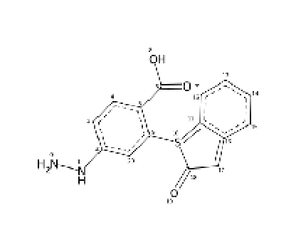 NNc1ccc(C(=O)O)c(S2=c3ccccc3=CC2=O)c1